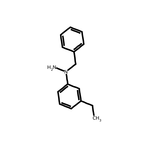 CCc1cccc(N(N)Cc2ccccc2)c1